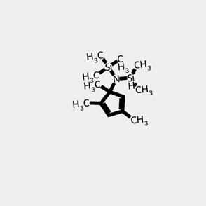 CC1=CC(C)(N([SiH](C)C)[Si](C)(C)C)C(C)=C1